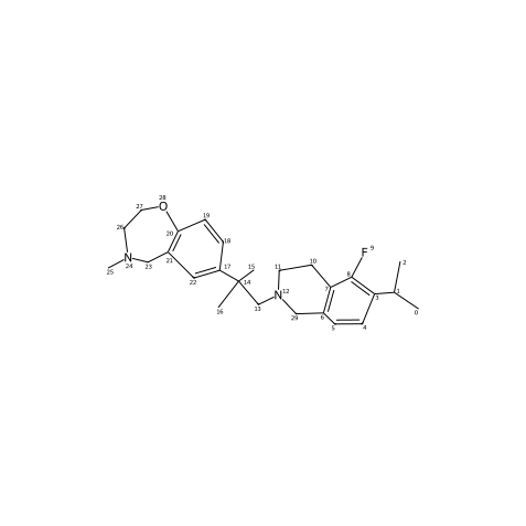 CC(C)c1ccc2c(c1F)CCN(CC(C)(C)c1ccc3c(c1)CN(C)CCO3)C2